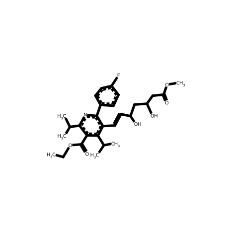 CCOC(=O)c1c(C(C)C)nc(-c2ccc(F)cc2)c(/C=C/C(O)CC(O)CC(=O)OC)c1C(C)C